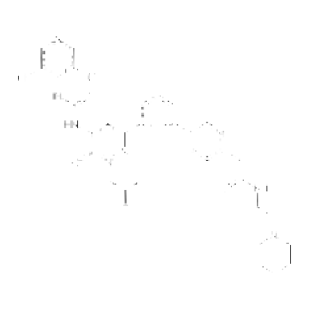 O=C(Cc1ccc(-c2cccc(-c3cc(NC(=O)Nc4c(Cl)cncc4Cl)c(=O)n(CC(F)F)n3)c2)cc1)NCCN1CCCCC1